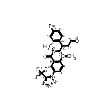 COc1ccc(-n2nnnc2C(F)(F)F)cc1C(=O)N(C)CC(CC=O)c1ccc(F)cc1